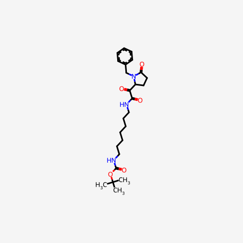 CC(C)(C)OC(=O)NCCCCCCCNC(=O)C(=O)C1CCC(=O)N1Cc1ccccc1